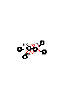 COc1c(OCc2ccccc2)c(OCc2ccccc2)cc(O)c1-c1c(O)c(C)c(OCc2ccccc2)c(OCc2ccccc2)c1OC